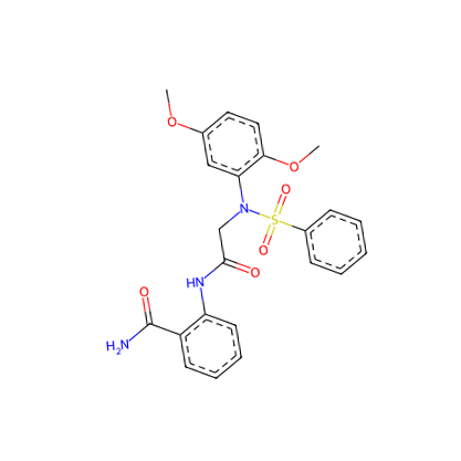 COc1ccc(OC)c(N(CC(=O)Nc2ccccc2C(N)=O)S(=O)(=O)c2ccccc2)c1